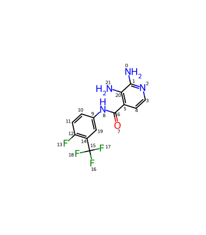 Nc1nccc(C(=O)Nc2ccc(F)c(C(F)(F)F)c2)c1N